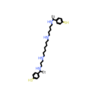 CCC(NCCCCCNCCCCCCCNCCCNC(CC)c1ccc(S)cc1)c1ccc(S)cc1